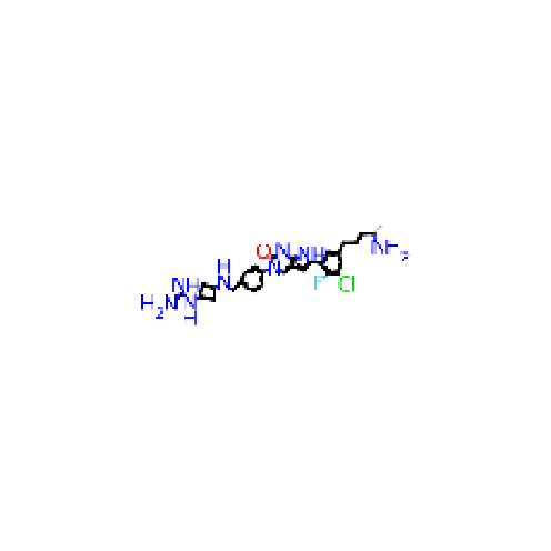 C[C@H](N)CCCc1cc(Cl)c(F)c(-c2cc3cn(-c4ccc(CNC5CC(NC(=N)N)C5)cc4)c(=O)nc3[nH]2)c1